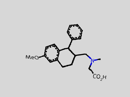 COc1ccc2c(c1)CCC(CN(C)CC(=O)O)C2c1ccccc1